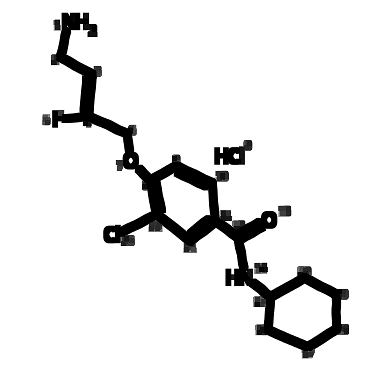 Cl.NCC=C(F)COc1ccc(C(=O)NC2CCCCC2)cc1Cl